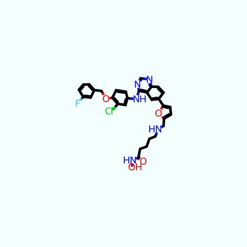 O=C(CCCCNCc1ccc(-c2ccc3ncnc(Nc4ccc(OCc5cccc(F)c5)c(Cl)c4)c3c2)o1)NO